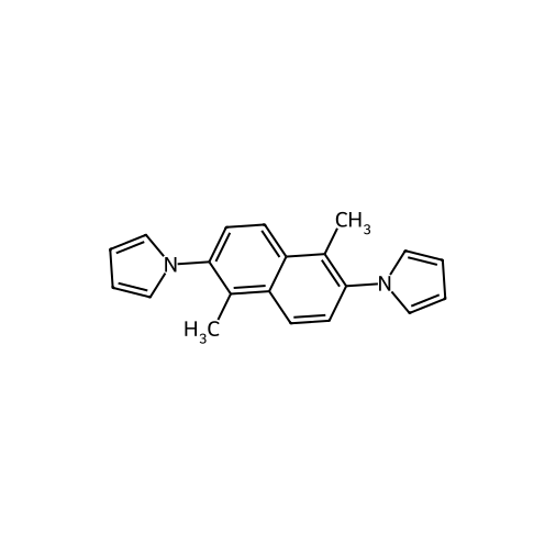 Cc1c(-n2cccc2)ccc2c(C)c(-n3cccc3)ccc12